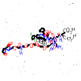 CC(C)(C)[C@H](c1cc(-c2cc(F)ccc2F)cn1Cc1ccccc1)N(CC[C@H](NC(=O)[C@H](CC(N)=O)NC(=O)CCOCCOCCOCCOCCNC(=O)CCOCCN1C(=O)C=CC1=O)C(=O)NCCC(=O)N[C@H](CCC(=O)O)C(=O)O)C(=O)CO